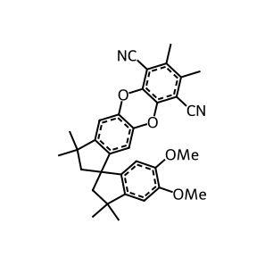 COc1cc2c(cc1OC)C1(CC2(C)C)CC(C)(C)c2cc3c(cc21)Oc1c(C#N)c(C)c(C)c(C#N)c1O3